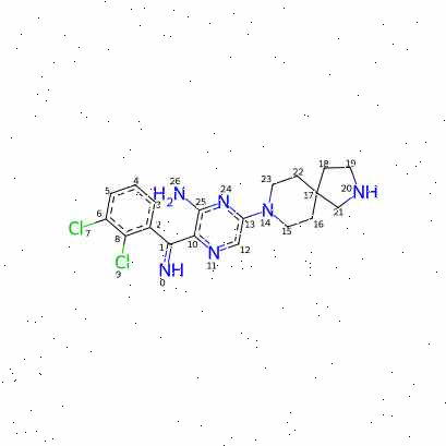 N=C(c1cccc(Cl)c1Cl)c1ncc(N2CCC3(CCNC3)CC2)nc1N